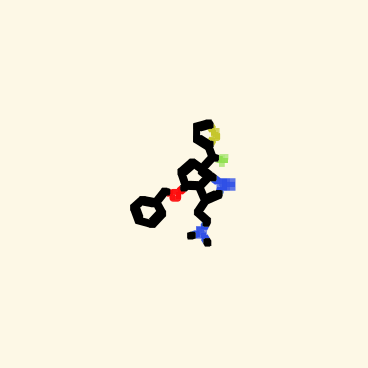 CN(C)CCc1c[nH]c2c(C(F)c3cccs3)ccc(OCc3ccccc3)c12